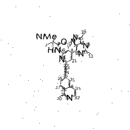 CNC(C)C(=O)Nc1cc(-c2nc(C)nc3c(C)nn(C)c23)cc(C#Cc2ccc3c(C)nccc3c2)n1